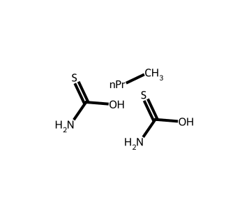 CCCC.NC(O)=S.NC(O)=S